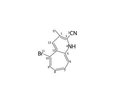 CC1=C(C#N)NC2=CC=CC=C(Br)C2=C1